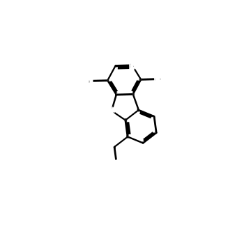 Oc1ncc(Br)c2sc3c(CI)cccc3c12